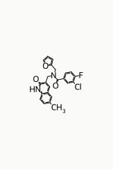 Cc1ccc2[nH]c(=O)c(CN(Cc3ccco3)C(=O)c3ccc(F)c(Cl)c3)cc2c1